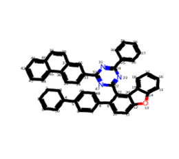 C1=CCCC(c2ccc(-c3ccc4oc5ccccc5c4c3-c3nc(-c4ccccc4)nc(-c4ccc5c(ccc6ccccc65)c4)n3)cc2)=C1